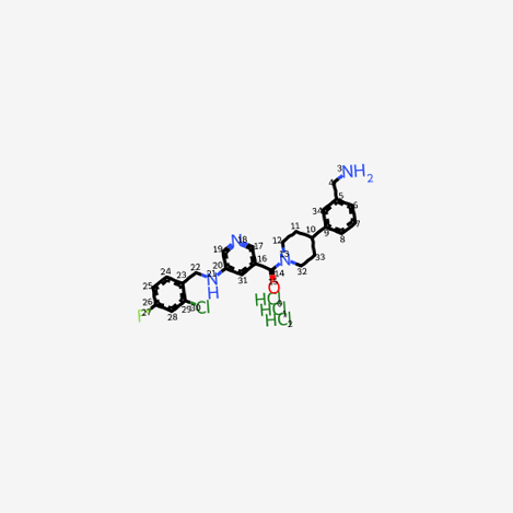 Cl.Cl.Cl.NCc1cccc(C2CCN(C(=O)c3cncc(NCc4ccc(F)cc4Cl)c3)CC2)c1